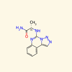 C[C@H](Nc1nc2ccccc2c2cnnn12)C(N)=O